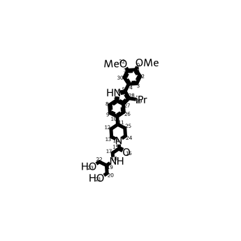 COc1ccc(-c2[nH]c3ccc(C4CCN(C(=O)CNC(CO)CO)CC4)cc3c2C(C)C)cc1OC